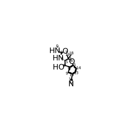 CNC(=O)N[C@H]1[C@H](O)c2cc(C#N)ccc2OC1(C)C